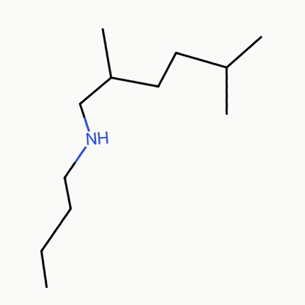 CCCCNCC(C)CCC(C)C